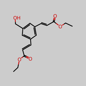 CCOC(=O)/C=C/c1cc(/C=C/C(=O)OCC)cc(CO)c1